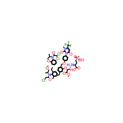 CC1COc2ccccc2N1C(=O)C(Cl)Cl.CCc1ccc(COc2ccc(-n3c(=O)cc(C(F)(F)F)n(C)c3=O)cc2)c(OC(C)C(=O)OC)c1.CCc1cccc(C)c1N(C(=O)CCl)C(C)COC.CP(=O)(O)CCC(N)C(=O)O